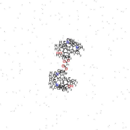 CN1C(C)(C)CC(C(CCCCOC(=O)CC(=O)OCCCCC(c2cc(C(C)(C)C)c(O)c(C(C)(C)C)c2)(C2CC(C)(C)N(C)C(C)(C)C2)C2CC(C)(C)N(C)C(C)(C)C2)(c2cc(C(C)(C)C)c(O)c(C(C)(C)C)c2)C2CC(C)(C)N(C)C(C)(C)C2)CC1(C)C